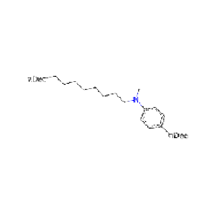 CCCCCCCCCCCCCCCCCCN(C)c1ccc(CCCCCCCCCC)cc1